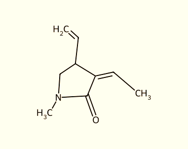 C=CC1CN(C)C(=O)/C1=C\C